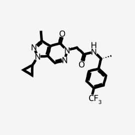 Cc1nn(C2CC2)c2cnn(CC(=O)N[C@H](C)c3ccc(C(F)(F)F)cc3)c(=O)c12